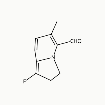 CC1=C(C=O)N2CCC(F)=C2C=C1